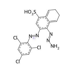 NN=Nc1c(/N=N/c2c(Cl)cc(Cl)cc2Cl)cc(S(=O)(=O)O)c2c1=CCCC=2